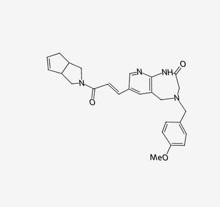 COc1ccc(CN2CC(=O)Nc3ncc(/C=C/C(=O)N4CC5C=CCC5C4)cc3C2)cc1